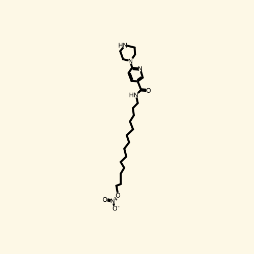 O=C(NCCCCCCCCCCCCCCO[N+](=O)[O-])c1ccc(N2CCNCC2)nc1